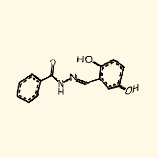 O=C(NN=Cc1cc(O)ccc1O)c1ccccc1